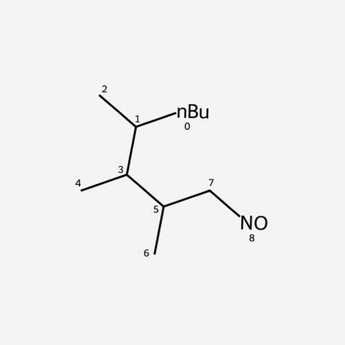 CCCCC(C)C(C)C(C)CN=O